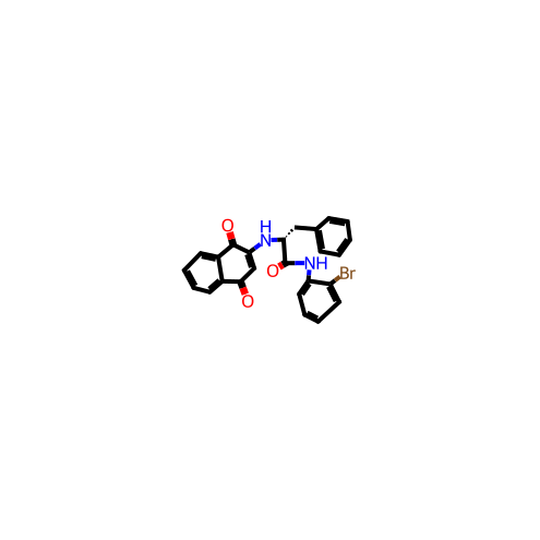 O=C1C=C(N[C@H](Cc2ccccc2)C(=O)Nc2ccccc2Br)C(=O)c2ccccc21